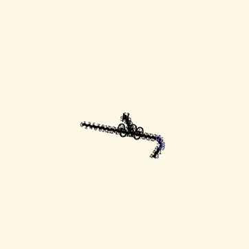 CCCCCC=CCC=CCCCCCCCC(=O)OCCN(CCOC(=O)CCCCCCC/C=C\C/C=C\CCCCC)C(=O)CSCCN(C)C